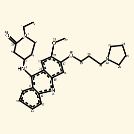 CCN1CCC(Nc2c3ccccc3nc3cc(OCCCN4CCCC4)c(OC)cc23)CC1=O